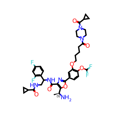 C[C@H](N)c1oc(-c2ccc(OC(F)F)c(OCCCCC(=O)N3CCN(C(=O)C4CC4)CC3)c2)nc1C(=O)NC(CNC(=O)C1CC1)c1ccc(F)cc1F